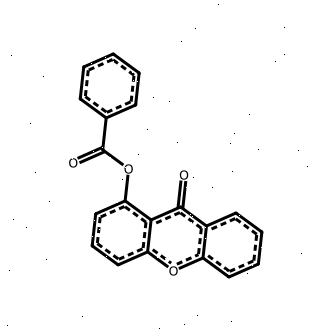 O=C(Oc1cccc2oc3ccccc3c(=O)c12)c1ccccc1